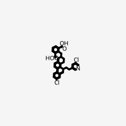 O=C(O)c1cccc(C(=O)O)c1CC1C=c2ccc3c(c2CC1)C(CCc1cncc(Cl)c1)C=c1cc(Cl)ccc1=3